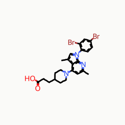 Cc1cc(N2CCC(CCC(=O)O)CC2)c2c(C)cn(-c3ccc(Br)cc3Br)c2n1